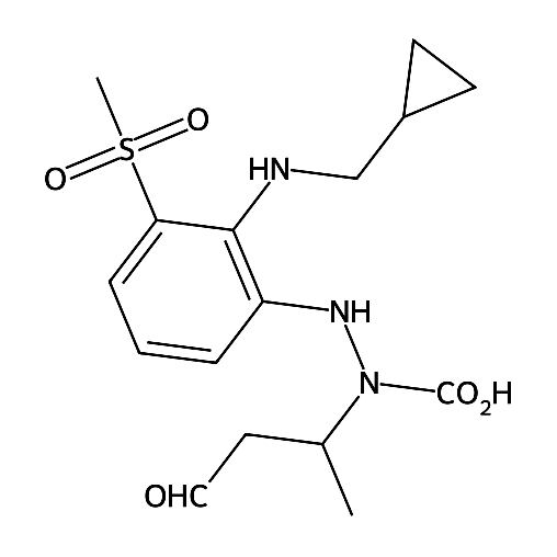 CC(CC=O)N(Nc1cccc(S(C)(=O)=O)c1NCC1CC1)C(=O)O